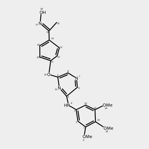 COc1cc(Nc2cncc(Oc3ccc(/C(C)=N/O)cc3)n2)cc(OC)c1OC